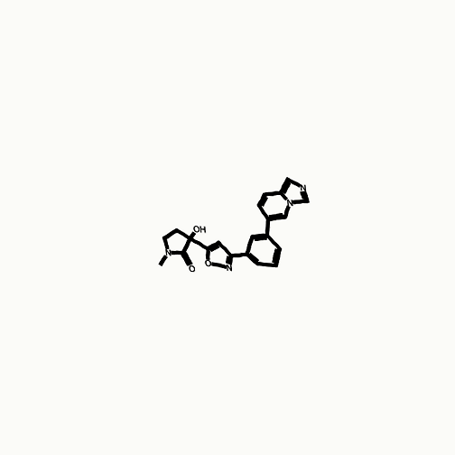 CN1CCC(O)(c2cc(-c3cccc(-c4ccc5cncn5c4)c3)no2)C1=O